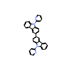 c1ccc(-n2c3ccccc3c3cc(-c4ccc5c(c4)c4ccccc4n5-c4ccccn4)ccc32)nc1